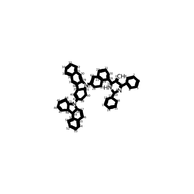 C=C1C(c2ccccc2)=NC(C2C=CC=CC2)NC1c1cccc2c1CCC(N1c3cc4ccccc4cc3C3C=C(N4C5C=CC=CC5C5c6ccccc6C=CC54)CCC31)=C2